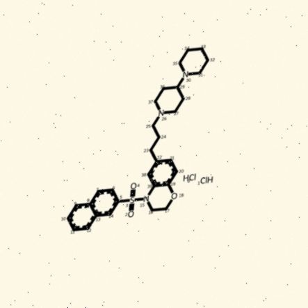 Cl.Cl.O=S(=O)(c1ccc2ccccc2c1)N1CCOc2ccc(CCCN3CCC(N4CCCCC4)CC3)cc21